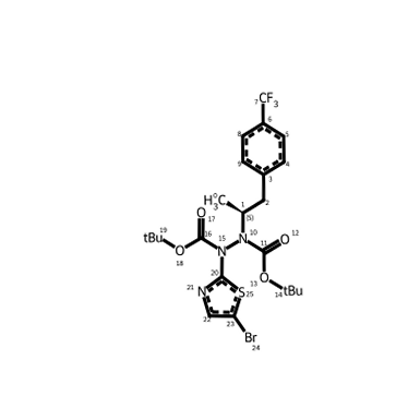 C[C@@H](Cc1ccc(C(F)(F)F)cc1)N(C(=O)OC(C)(C)C)N(C(=O)OC(C)(C)C)c1ncc(Br)s1